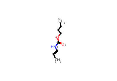 CC=CNC(=O)OCCCC